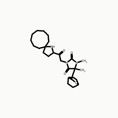 CN1C(=O)N(CC(=O)C2CCC3(CCCCCCCC3)N2)C(=O)C1(C)C1CC2CCC1CC2